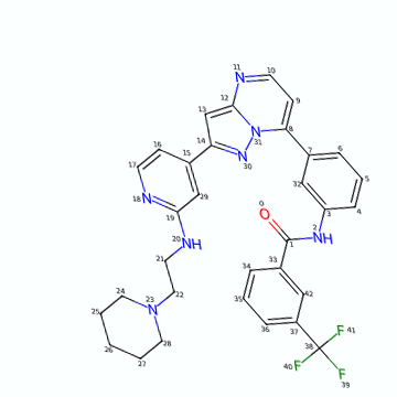 O=C(Nc1cccc(-c2ccnc3cc(-c4ccnc(NCCN5CCCCC5)c4)nn23)c1)c1cccc(C(F)(F)F)c1